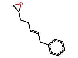 C(=CCc1ccccc1)CCC1CO1